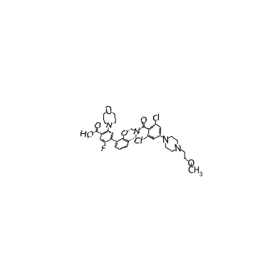 COCCN1CCN(c2cc(Cl)c(C(=O)N3COc4c(cccc4-c4cc(N5CCOCC5)c(C(=O)O)cc4F)C3)c(Cl)c2)CC1